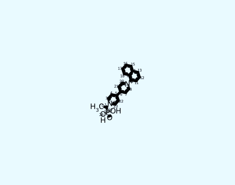 CC([n+]1ccc(-c2cc[n+](-c3cccc4ccccc34)cc2)cc1)P(=O)(O)O